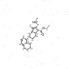 CCOC(=O)c1c(CNC)n(C)c2cc(-c3cncc4ccccc34)ccc12